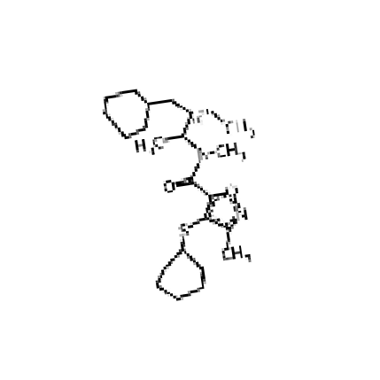 CC[C@@H](CC1CCCCC1)C(C)N(C)C(=O)c1onc(C)c1SC1CCCCC1